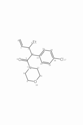 C=CC(CC)C(C(=O)N1CCOCC1)c1ccc(Cl)cc1